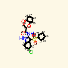 O=C(Nc1[nH]c2ccc(Cl)cc2c1S(=O)(=O)c1ccccc1)C1COc2ccccc2O1